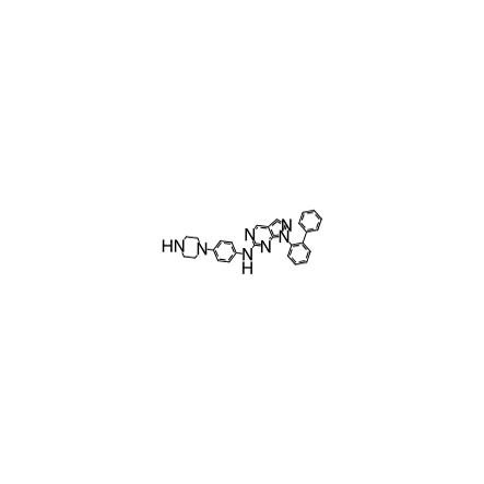 c1ccc(-c2ccccc2-n2ncc3cnc(Nc4ccc(N5CCNCC5)cc4)nc32)cc1